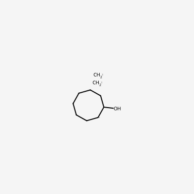 OC1[CH]CCCCCC1.[CH2].[CH2]